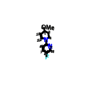 COC1CCN(c2ccc(F)cn2)CC1